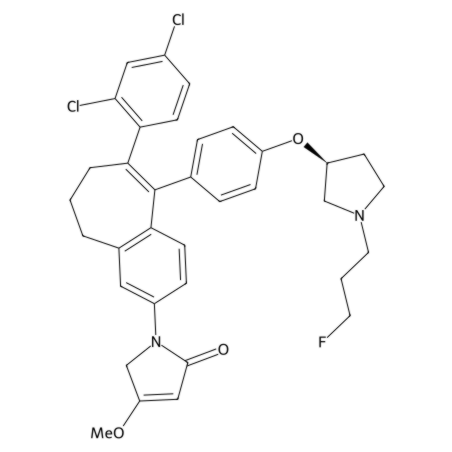 COC1=CC(=O)N(c2ccc3c(c2)CCCC(c2ccc(Cl)cc2Cl)=C3c2ccc(O[C@H]3CCN(CCCF)C3)cc2)C1